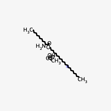 CCCCCCCC/C=C/CCCCCCCCCCCCOC(=O)C(N)CCCCCCCCCC.CCS(=O)(=O)O